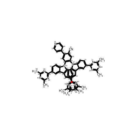 Cc1nc(C)nc(-c2ccc3c(c2)c2cc(-c4nc(C)nc(C)n4)ccc2n3-c2cc(C#N)c(-c3ccncc3)cc2-n2c3ccc(-c4nc(C)nc(C)n4)cc3c3cc(-c4nc(C)nc(C)n4)ccc32)n1